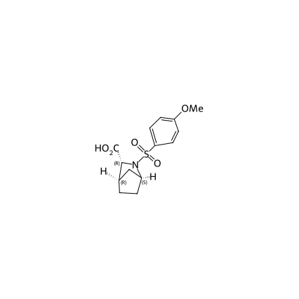 COc1ccc(S(=O)(=O)N2[C@H]3CC[C@H](C3)[C@@H]2C(=O)O)cc1